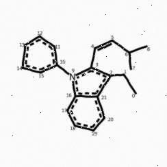 CCc1c(/C=C\C(C)C)n(-c2ccccc2)c2ccccc12